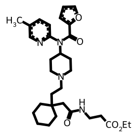 CCOC(=O)CCNC(=O)CC1(CCN2CCC(N(C(=O)c3ccco3)c3ccc(C)cn3)CC2)CCCCC1